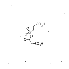 O=C(CS(=O)(=O)O)OS(=O)(=O)CCS(=O)(=O)O